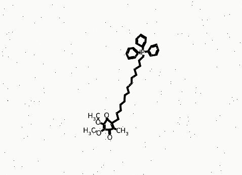 COC1=C(OC)C(=O)C(CCCCCCCCCCCCCCC[PH](c2ccccc2)(c2ccccc2)c2ccccc2)=C(C)C1=O